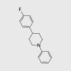 Fc1ccc(C2CCN(c3ccccc3)CC2)cc1